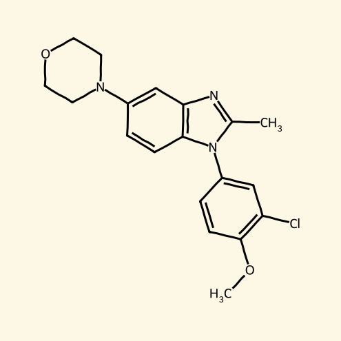 COc1ccc(-n2c(C)nc3cc(N4CCOCC4)ccc32)cc1Cl